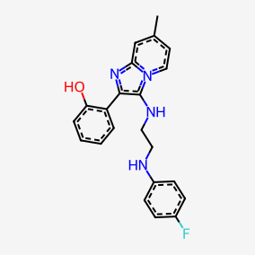 Cc1ccn2c(NCCNc3ccc(F)cc3)c(-c3ccccc3O)nc2c1